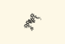 NC1CN(c2nccnc2-c2cc3cn[nH]c3c(-c3nc4ccc(-c5ccccc5OCCN5CCCC5)nc4n3F)n2)C1